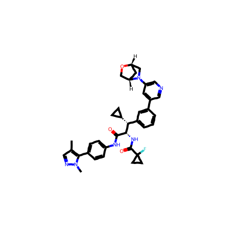 Cc1cnn(C)c1-c1ccc(NC(=O)[C@@H](NC(=O)C2(F)CC2)[C@@H](c2cccc(-c3cncc(N4C[C@@H]5C[C@H]4CO5)c3)c2)C2CC2)cc1